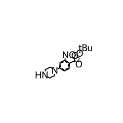 CC(C)(C)OOC(=O)c1ccc(N2CCNCC2)cc1[N+](=O)[O-]